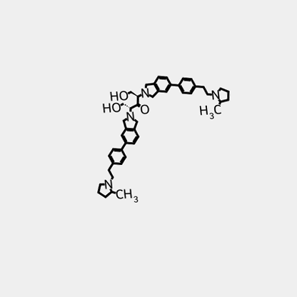 CC1CCCN1CCc1ccc(-c2ccc3c(c2)CN([C@H](CO)C(=O)[C@@H](CO)N2Cc4ccc(-c5ccc(CCN6CCCC6C)cc5)cc4C2)C3)cc1